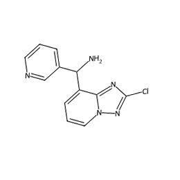 NC(c1cccnc1)c1cccn2nc(Cl)nc12